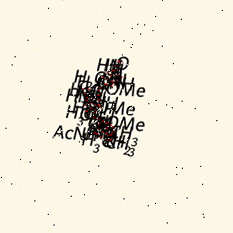 C=CC(=O)Nc1cc(Nc2nc(CN(C)CCN(C)c3cc(OC)c(Nc4nc(CN(C)CCN(C)c5cc(OC)c(Nc6nccc(-n7nc(NC8CCOC8)c8ccccc87)n6)cc5NC(=O)C=C)cc(-n5nc(Nc6ccccn6)c6ccccc65)n4)cc3NC(=O)C=C)cc(-n3nc(NC(C)=O)c4ccccc43)n2)c(OC)cc1N(C)CCN(C)C